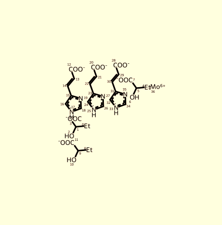 CCC(O)C(=O)[O-].CCC(O)C(=O)[O-].CCC(O)C(=O)[O-].O=C([O-])C=Cc1c[nH]cn1.O=C([O-])C=Cc1c[nH]cn1.O=C([O-])C=Cc1c[nH]cn1.[Mo+6]